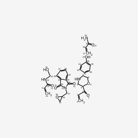 C=CC(=O)C1CNCCO1.C=CC(=O)NCO.C=CC(N)=O.O=C1c2ccccc2C(=O)N1CC1CO1.Oc1ccccc1